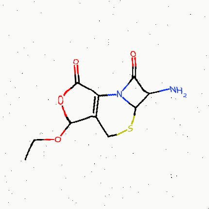 CCOC1OC(=O)C2=C1CSC1C(N)C(=O)N21